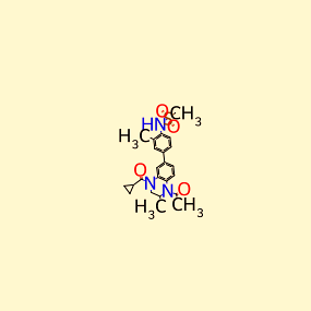 CC(=O)N1c2ccc(-c3ccc(NS(C)(=O)=O)c(C)c3)cc2N(C(=O)C2CC2)CC1C